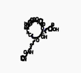 CO[C@H]1C[C@@H](C)C/C(C)=C/[C@@H](CCCSCCNC(=O)Cc2ccccn2)C(=O)C[C@H](O)[C@@H](C)[C@@H](/C(C)=C/[C@@H]2CC[C@@H](O)[C@H](OC)C2)OC(=O)[C@@H]2CCCCN2C(=O)C(=O)[C@]2(O)O[C@H]1[C@@H](OC)C[C@H]2C